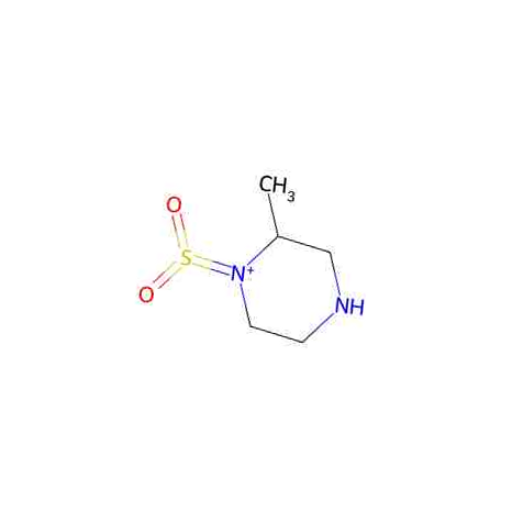 CC1CNCC[N+]1=S(=O)=O